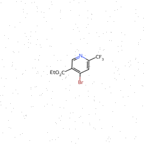 CCOC(=O)c1cnc(C(F)(F)F)cc1Br